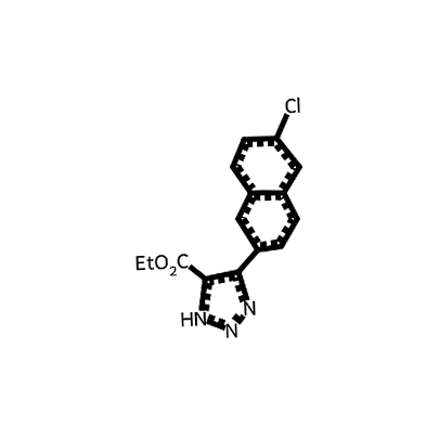 CCOC(=O)c1[nH]nnc1-c1ccc2cc(Cl)ccc2c1